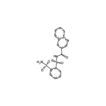 NS(=O)(=O)c1ccccc1S(=O)(=O)NC(=O)c1cnc2ccccc2c1